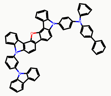 c1ccc(-c2ccc(N(c3ccccc3)c3ccc(-n4c5ccccc5c5c6oc7c(ccc8c7c7ccccc7n8-c7cccc(-n8c9ccccc9c9ccccc98)c7)c6ccc54)cc3)cc2)cc1